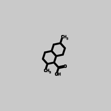 CC1CCC2C(CCC(C)C2C(=O)O)C1